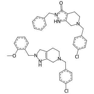 COc1ccccc1CN1CC2=C(CN(Cc3ccc(Cl)cc3)CC2)N1.O=c1c2c([nH]n1Cc1ccccc1)CN(Cc1ccc(Cl)cc1)CC2